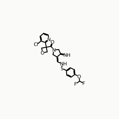 N=C1CN(C(=O)C2(c3ncccc3Cl)COC2)C/C1=C/NSc1ccc(OC(F)F)cc1